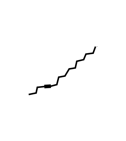 [CH2]CCCCCCCCCC#CCCC